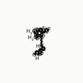 Cn1ccc2c(c1=O)C1=C3C(=CN(c4ncc(F)cc4F)C3CCN1)C(C(=O)NCCCCCNc1cccc3c1CN(C1CCC(=O)NC1=O)C3=O)=C2CS(C)(=O)=O